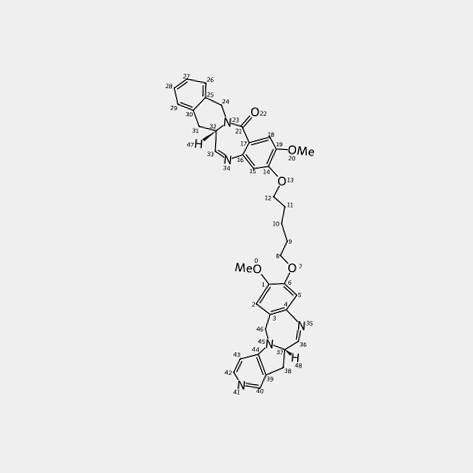 COc1cc2c(cc1OCCCCCOc1cc3c(cc1OC)C(=O)N1Cc4ccccc4C[C@H]1C=N3)N=C[C@@H]1Cc3cnccc3N1C2